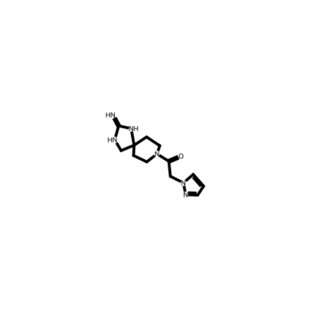 N=C1NCC2(CCN(C(=O)Cn3cccn3)CC2)N1